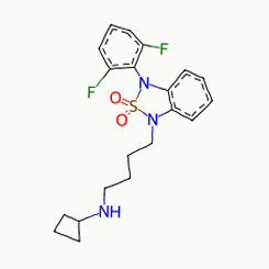 O=S1(=O)N(CCCCNC2CCC2)c2ccccc2N1c1c(F)cccc1F